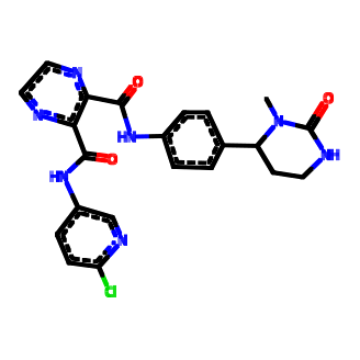 CN1C(=O)NCCC1c1ccc(NC(=O)c2nccnc2C(=O)Nc2ccc(Cl)nc2)cc1